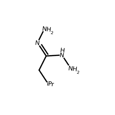 CC(C)C/C(=N/N)NN